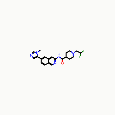 Cn1cncc1-c1ccc2cnc(NC(=O)C3CCN(CC(F)F)CC3)cc2c1